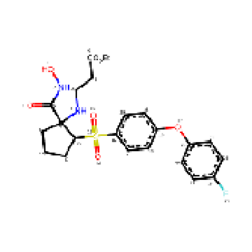 CCOC(=O)CCNC1(C(=O)NO)CCCC1S(=O)(=O)c1ccc(Oc2ccc(F)cc2)cc1